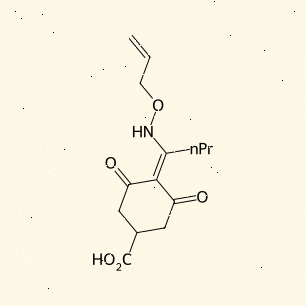 C=CCONC(CCC)=C1C(=O)CC(C(=O)O)CC1=O